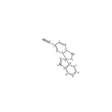 N#CC1=CC2C(C=C1)OCC21C=Nc2ccccc21